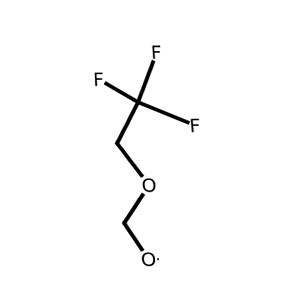 [O]COCC(F)(F)F